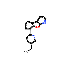 CCc1ccc(-c2cccc3c2oc2ncccc23)nc1